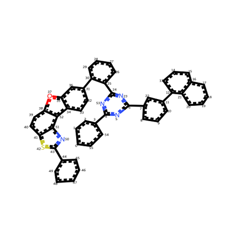 c1ccc(-c2nc(-c3cccc(-c4cccc5ccccc45)c3)nc(-c3ccccc3-c3ccc4c(c3)oc3ccc5sc(-c6ccccc6)nc5c34)n2)cc1